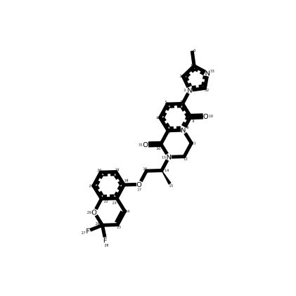 Cc1cn(-c2ccc3n(c2=O)CCN([C@@H](C)COc2cccc4c2C=CC(F)(F)O4)C3=O)cn1